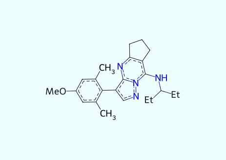 CCC(CC)Nc1c2c(nc3c(-c4c(C)cc(OC)cc4C)cnn13)CCC2